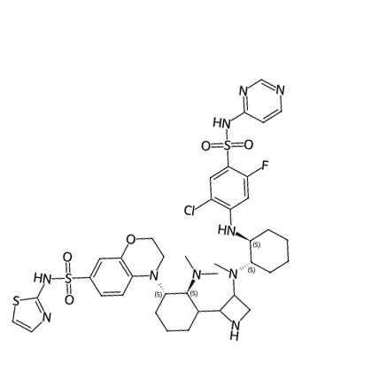 CN(C)[C@H]1C(C2NCC2N(C)[C@H]2CCCC[C@@H]2Nc2cc(F)c(S(=O)(=O)Nc3ccncn3)cc2Cl)CCC[C@@H]1N1CCOc2cc(S(=O)(=O)Nc3nccs3)ccc21